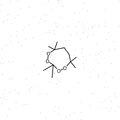 CC1(C)CCC(C)(C)OOC(C)(C)OO1